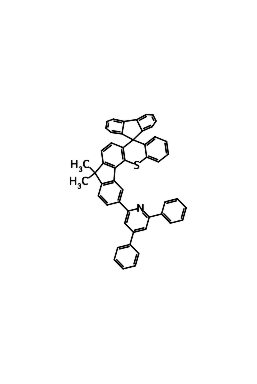 CC1(C)c2ccc(-c3cc(-c4ccccc4)cc(-c4ccccc4)n3)cc2-c2c1ccc1c2Sc2ccccc2C12c1ccccc1-c1ccccc12